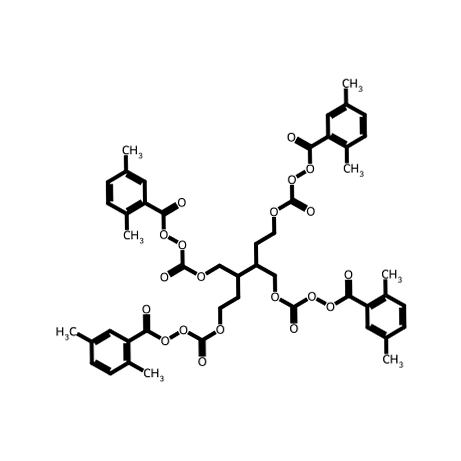 Cc1ccc(C)c(C(=O)OOC(=O)OCCC(COC(=O)OOC(=O)c2cc(C)ccc2C)C(CCOC(=O)OOC(=O)c2cc(C)ccc2C)COC(=O)OOC(=O)c2cc(C)ccc2C)c1